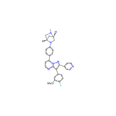 COc1cc(-c2c(-c3ccncc3)nn3c(-c4ccc(N5C[C@@H]6C[C@H]5CN6C)cc4)ccnc23)ccc1F